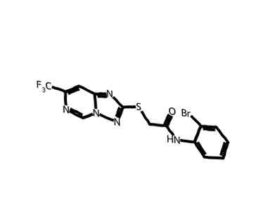 O=C(CSc1nc2cc(C(F)(F)F)ncn2n1)Nc1ccccc1Br